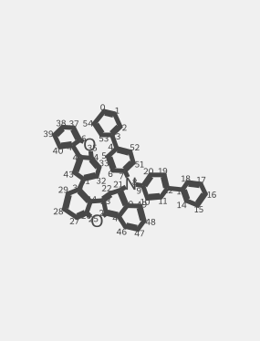 c1ccc(-c2ccc(N(c3ccc(-c4ccccc4)cc3)c3cc4c(oc5cccc(-c6ccc7oc8ccccc8c7c6)c54)c4ccccc34)cc2)cc1